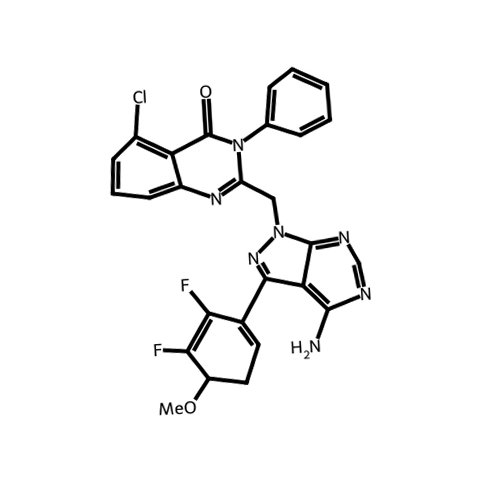 COC1CC=C(c2nn(Cc3nc4cccc(Cl)c4c(=O)n3-c3ccccc3)c3ncnc(N)c23)C(F)=C1F